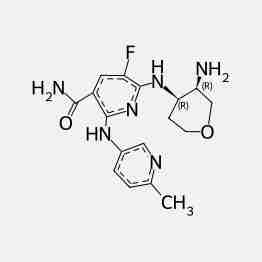 Cc1ccc(Nc2nc(N[C@@H]3CCOC[C@@H]3N)c(F)cc2C(N)=O)cn1